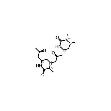 CC(=O)C[C@H]1CN(CC(=O)C[C@H]2CN(C)[C@@H](C)C(=O)N2)[C@@H](C)C(=O)N1